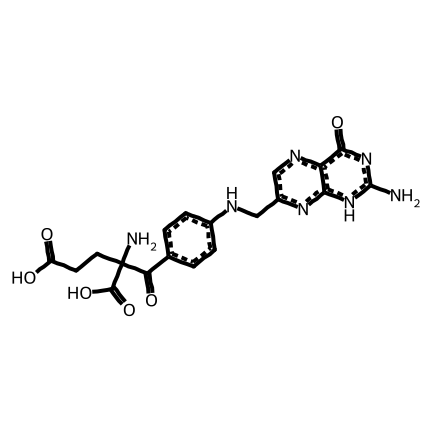 Nc1nc(=O)c2ncc(CNc3ccc(C(=O)C(N)(CCC(=O)O)C(=O)O)cc3)nc2[nH]1